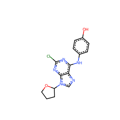 Oc1ccc(Nc2nc(Cl)nc3c2ncn3C2CCCO2)cc1